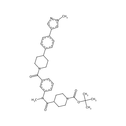 CN(C(=O)C1CCN(C(=O)OC(C)(C)C)CC1)c1cccc(C(=O)N2CCC(c3ccc(-c4cnn(C)c4)cc3)CC2)c1